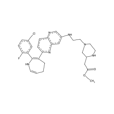 COC(=O)CC1CN(CCNc2cnc3ccc(C4=C(c5cc(Cl)ccc5F)NC=CCC4)nc3c2)CCN1